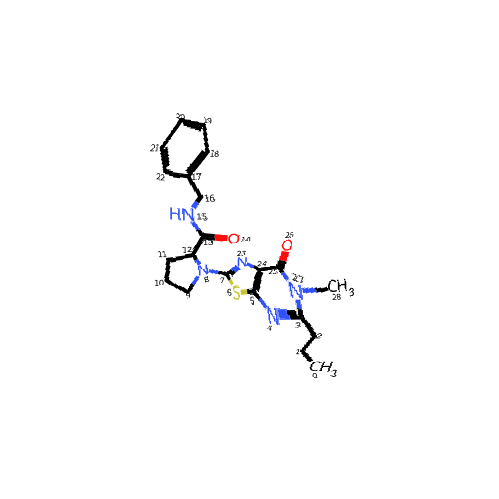 CCCc1nc2sc(N3CCCC3C(=O)NCc3ccccc3)nc2c(=O)n1C